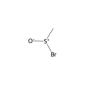 C[S+]([O-])Br